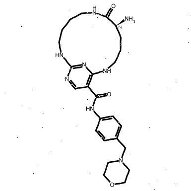 N[C@H]1CCCNc2nc(ncc2C(=O)Nc2ccc(CN3CCOCC3)cc2)NCCCCNC1=O